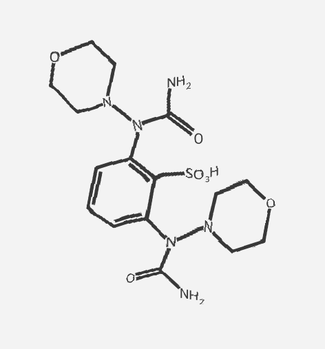 NC(=O)N(c1cccc(N(C(N)=O)N2CCOCC2)c1S(=O)(=O)O)N1CCOCC1